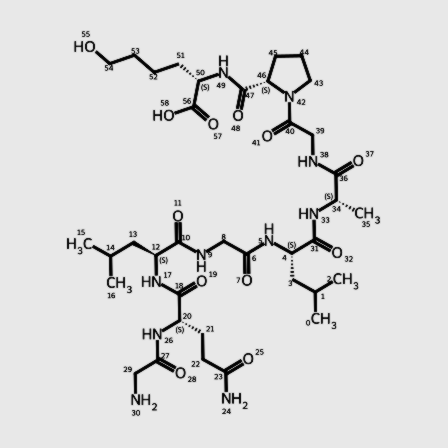 CC(C)C[C@H](NC(=O)CNC(=O)[C@H](CC(C)C)NC(=O)[C@H](CCC(N)=O)NC(=O)CN)C(=O)N[C@@H](C)C(=O)NCC(=O)N1CCC[C@H]1C(=O)N[C@@H](CCCCO)C(=O)O